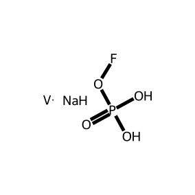 O=P(O)(O)OF.[NaH].[V]